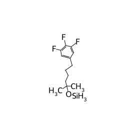 CC(C)(CCCCc1cc(F)c(F)c(F)c1)O[SiH3]